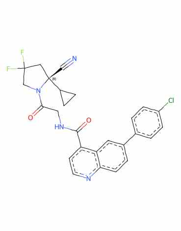 N#C[C@]1(C2CC2)CC(F)(F)CN1C(=O)CNC(=O)c1ccnc2ccc(-c3ccc(Cl)cc3)cc12